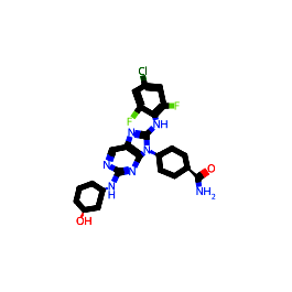 NC(=O)[C@H]1CC[C@@H](n2c(Nc3c(F)cc(Cl)cc3F)nc3cnc(N[C@H]4CCC[C@@H](O)C4)nc32)CC1